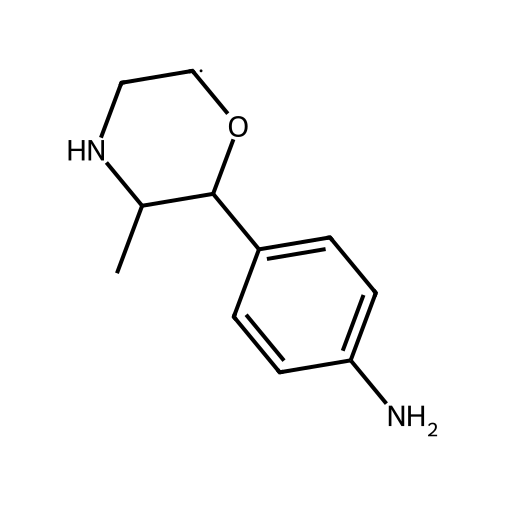 CC1NC[CH]OC1c1ccc(N)cc1